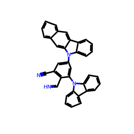 N#Cc1cc(-n2c3ccccc3c3cc4ccccc4cc32)cc(-n2c3ccccc3c3ccccc32)c1C=N